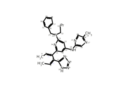 C/C=C(\C(=C/C)c1nnn[nH]1)c1cc(Nc2cnc(C)cn2)cc(N(Cc2ccccc2)CC(C)C)n1